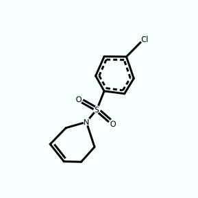 O=S(=O)(c1ccc(Cl)cc1)N1CC=CCC1